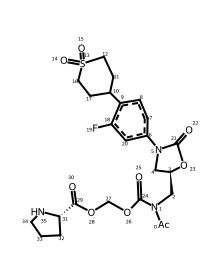 CC(=O)N(C[C@H]1CN(c2ccc(C3CCS(=O)(=O)CC3)c(F)c2)C(=O)O1)C(=O)OCOC(=O)[C@@H]1CCCN1